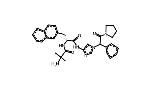 CC(C)(N)C(=O)N[C@H](Cc1ccc2ccccc2c1)C(=O)Nc1cn(C(C(=O)N2CCCC2)c2ccccc2)cn1